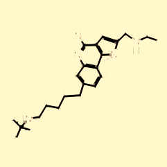 CCNCc1cc2c(N)nc3cc(CCCCCNC(C)(C)C)ccc3c2[nH]1